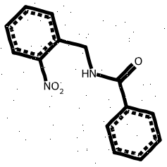 O=C(NCc1ccccc1[N+](=O)[O-])c1ccccc1